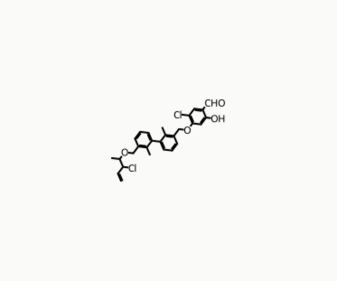 C=CC(Cl)C(C)OCc1cccc(-c2cccc(COc3cc(O)c(C=O)cc3Cl)c2C)c1C